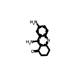 Nc1ccc2nc3c(c(N)c2c1)C(=O)CCC3